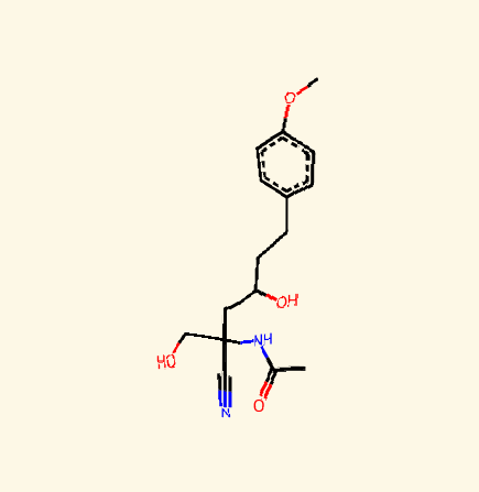 COc1ccc(CCC(O)CC(C#N)(CO)NC(C)=O)cc1